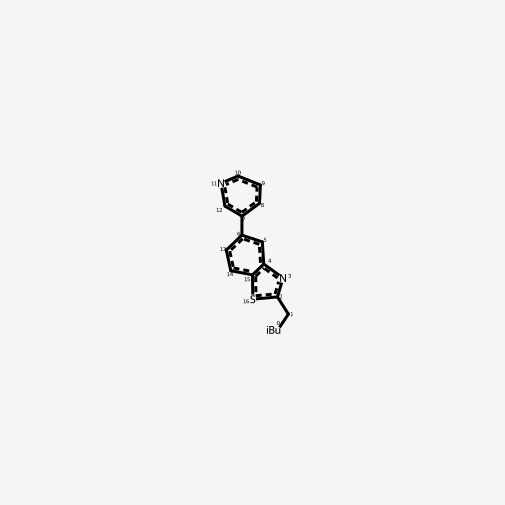 CCC(C)Cc1nc2cc(-c3cccnc3)ccc2s1